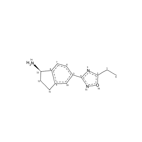 CCc1nc(-c2ccc3c(c2)CC[C@H]3N)no1